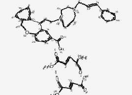 O=C(O)C=CC(=O)O.O=C(O)C=CC(=O)O.O=C(O)c1ccc2c(c1)C(=CCN1CCN(CC=Cc3ccccc3)CC1)c1ccccc1CO2